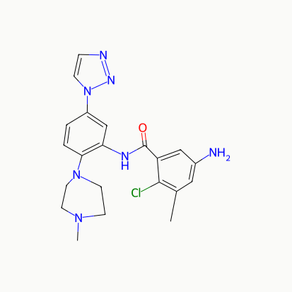 Cc1cc(N)cc(C(=O)Nc2cc(-n3ccnn3)ccc2N2CCN(C)CC2)c1Cl